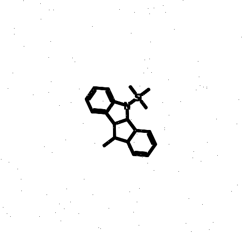 CC1C2C=CC=CC2C2C1c1ccccc1N2[Si](C)(C)C